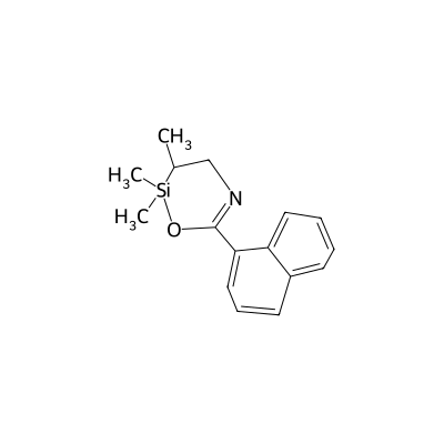 CC1CN=C(c2cccc3ccccc23)O[Si]1(C)C